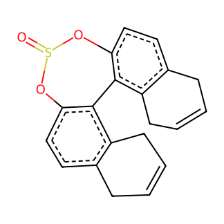 O=S1Oc2ccc3c(c2-c2c(ccc4c2CC=CC4)O1)CC=CC3